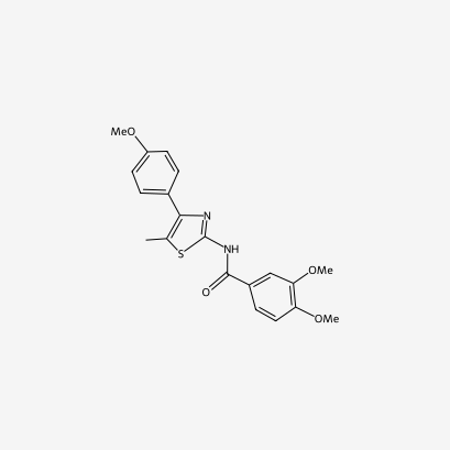 COc1ccc(-c2nc(NC(=O)c3ccc(OC)c(OC)c3)sc2C)cc1